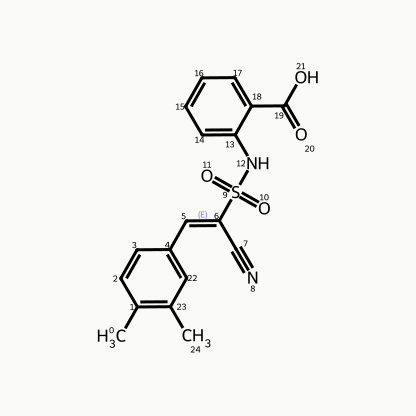 Cc1ccc(/C=C(\C#N)S(=O)(=O)Nc2ccccc2C(=O)O)cc1C